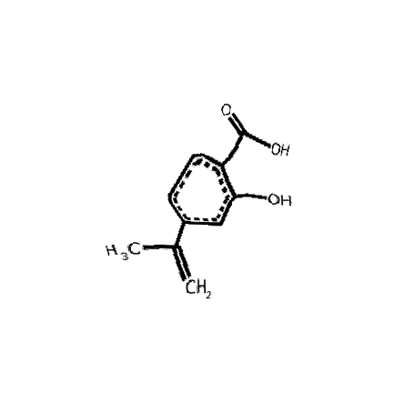 C=C(C)c1ccc(C(=O)O)c(O)c1